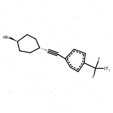 CCCC[C@H]1CC[C@H](C#Cc2ccc(C(F)(F)C(F)(F)F)cc2)CC1